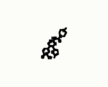 Cc1ccc(-c2nc(NC(=O)N3CCN(C)CC3)ncc2-c2ccc(=O)n(C(C)C)c2)o1